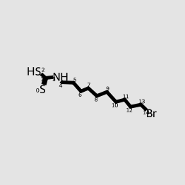 S=C(S)NCCCCCCCCCCBr